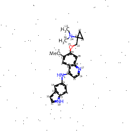 COc1cc2c(Nc3ccc4[nH]ccc4c3)ccnc2cc1OCC1(N(C)C)CC1